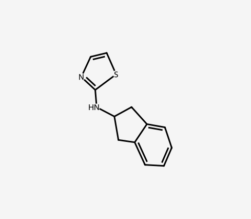 c1ccc2c(c1)CC(Nc1nccs1)C2